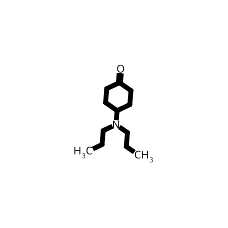 CCCN(CCC)C1CCC(=O)CC1